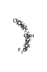 O=C(CCCN1CCN(c2ccc(Cl)cc2)CC1)NC1CCN(c2ccc(SC(F)(F)F)cc2)CC1